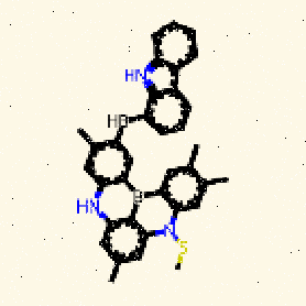 CSN1c2cc(C)c(C)cc2B2c3cc(Bc4cccc5c4[nH]c4ccccc45)c(C)cc3Nc3cc(C)cc1c32